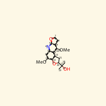 COc1cc2nc3occc3c(OC)c2c2c1OC(C(C)(C)O)C2